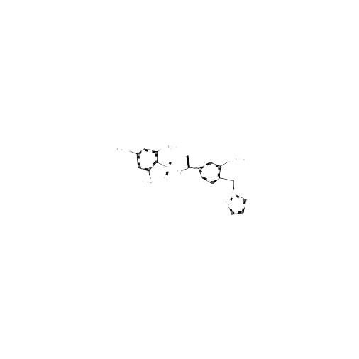 COc1cc(OC)c([S@](=N)(=O)NC(=O)c2ccc(Cn3cccn3)c(OC)c2)c(OC)c1